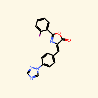 O=C1OC(c2ccccc2I)=NC1=Cc1ccc(-n2cncn2)cc1